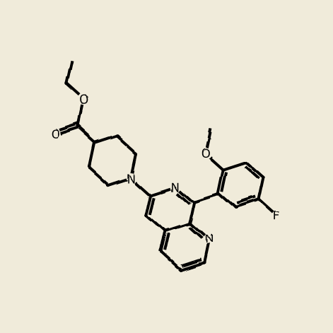 CCOC(=O)C1CCN(c2cc3cccnc3c(-c3cc(F)ccc3OC)n2)CC1